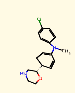 CN(C1=CCC([C@H]2CNCCO2)C=C1)c1ccc(Cl)cc1